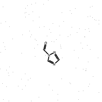 O=[C]n1cncn1